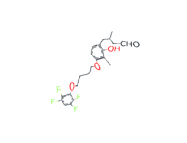 Cc1c(OCCCCOc2c(F)c(F)cc(F)c2F)ccc(CC(C)CC=O)c1O